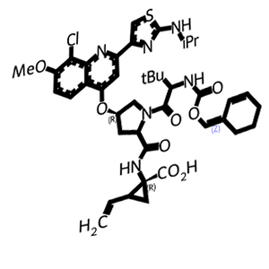 C=CC1C[C@]1(NC(=O)C1C[C@@H](Oc2cc(-c3csc(NC(C)C)n3)nc3c(Cl)c(OC)ccc23)CN1C(=O)C(NC(=O)O/C=C1\C=CCCC1)C(C)(C)C)C(=O)O